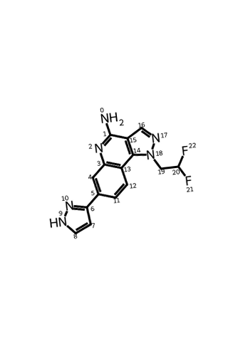 Nc1nc2cc(-c3cc[nH]n3)ccc2c2c1cnn2CC(F)F